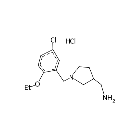 CCOc1ccc(Cl)cc1CN1CCC(CN)C1.Cl